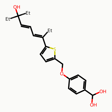 CCC(=CC=CC(O)(CC)CC)c1ccc(COc2ccc(C(O)O)cc2)s1